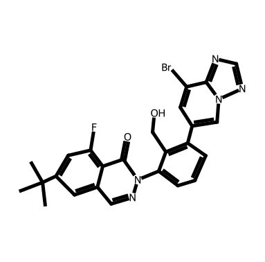 CC(C)(C)c1cc(F)c2c(=O)n(-c3cccc(-c4cc(Br)c5ncnn5c4)c3CO)ncc2c1